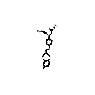 CC#C[C@@H](CC(=O)OC)c1ccc(OCC2COc3ccc(Cl)cc3OC2)cc1